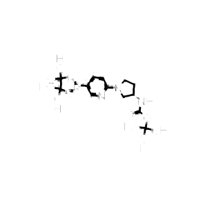 CC(C)(C)OC(=O)N[C@@H]1CCN(c2ccc(B3OC(C)(C)C(C)(C)O3)cn2)C1